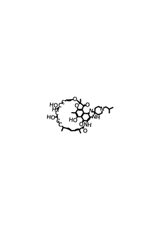 C/C1=C/C=C/C(C)CCC(O)C[C@H](O)CC/C=C/OC2(C)Oc3c(C)c(O)c4c(c3C2=O)C2=NC3(CCN(CC(C)C)CC3)NC2=C(NC1=O)C4=O